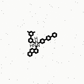 Cc1cc(C)cc(-c2cccc(C3NC(c4cccc5c4ccc4ccccc45)=NC(c4ccc(-c5ccc(-c6ccccc6)cc5)cc4)N3)c2)c1